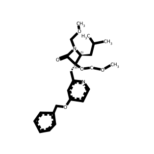 COCO[C@@]1(Cc2cc(OCc3ccccc3)ccn2)C(=O)N(COC)[C@H]1CC(C)C